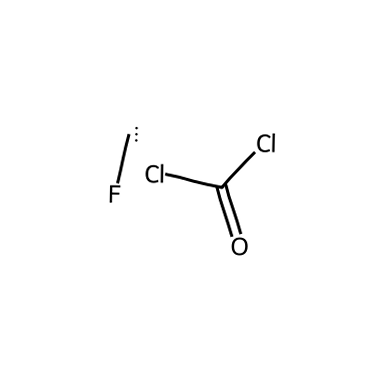 O=C(Cl)Cl.[C]F